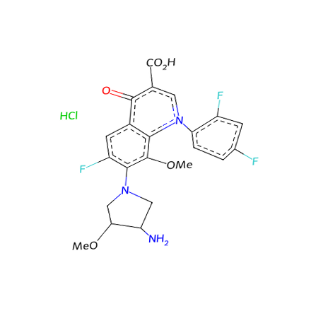 COc1c(N2CC(N)C(OC)C2)c(F)cc2c(=O)c(C(=O)O)cn(-c3ccc(F)cc3F)c12.Cl